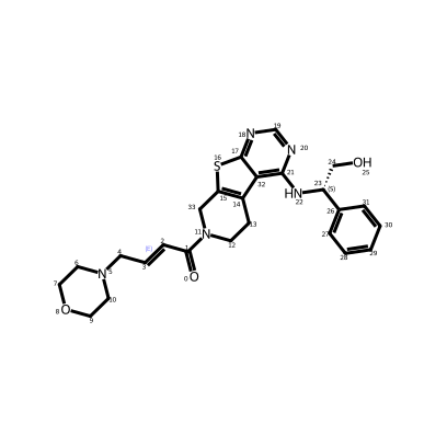 O=C(/C=C/CN1CCOCC1)N1CCc2c(sc3ncnc(N[C@H](CO)c4ccccc4)c23)C1